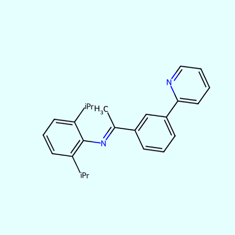 CC(=Nc1c(C(C)C)cccc1C(C)C)c1cccc(-c2ccccn2)c1